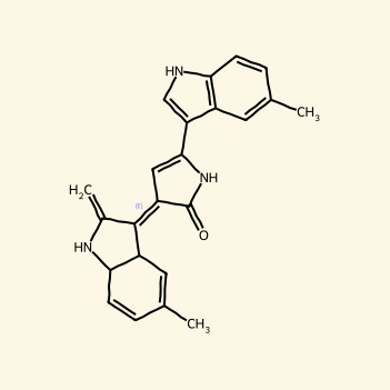 C=C1NC2C=CC(C)=CC2/C1=C1/C=C(c2c[nH]c3ccc(C)cc23)NC1=O